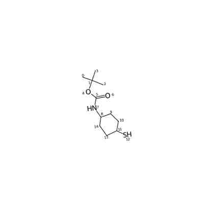 CC(C)(C)OC(=O)NC1CCC(S)CC1